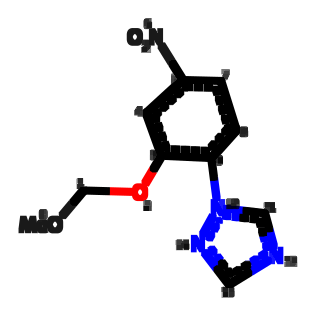 COCOc1cc([N+](=O)[O-])ccc1-n1cncn1